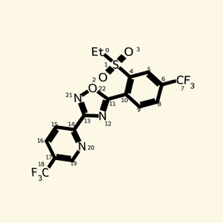 CCS(=O)(=O)c1cc(C(F)(F)F)ccc1-c1nc(-c2ccc(C(F)(F)F)cn2)no1